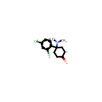 CN(C)C1(c2ccc(Cl)cc2Cl)CCC(=O)CC1